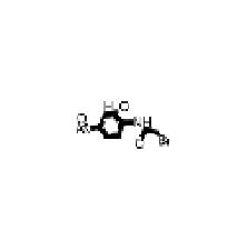 O.O=[As]c1ccc(NC(=O)CBr)cc1